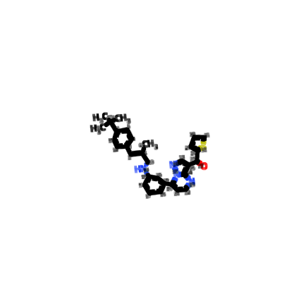 C/C(=C\c1ccc(C(C)(C)C)cc1)CNc1cccc(-c2ccnc3c(C(=O)c4cccs4)cnn23)c1